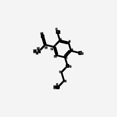 CCc1cc(Cl)c(OCCO)cc1C(N)=O